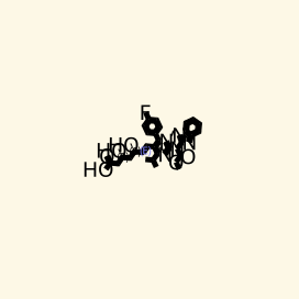 COC(=O)N(c1nc(-c2ccc(F)cc2)c(/C=C/[C@@H](O)C[C@@H](O)CC(=O)O)c(C(C)C)n1)c1nc2ccccc2n1C